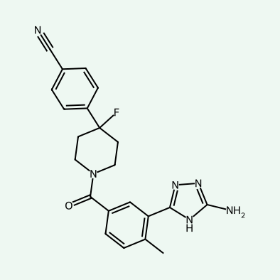 Cc1ccc(C(=O)N2CCC(F)(c3ccc(C#N)cc3)CC2)cc1-c1nnc(N)[nH]1